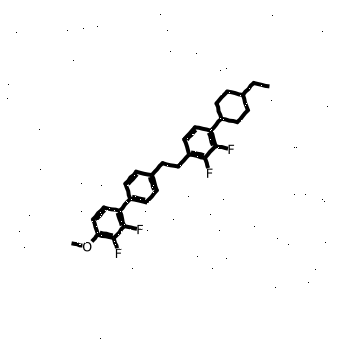 CCC1CCC(c2ccc(CCc3ccc(-c4ccc(OC)c(F)c4F)cc3)c(F)c2F)CC1